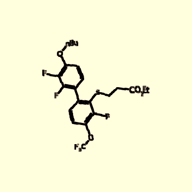 CCCCOc1ccc(-c2ccc(OC(F)(F)F)c(F)c2SCCC(=O)OCC)c(F)c1F